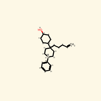 C=CCCCC1(C2CCC(O)CC2)CC[SiH](c2ccccc2)CC1